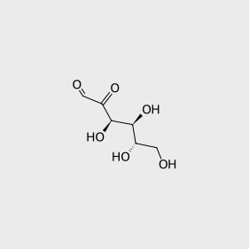 O=CC(=O)[C@H](O)[C@@H](O)[C@@H](O)CO